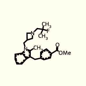 COC(=O)c1ccc(Cc2c(C)n(CC3CN(CC(C)(C)F)C3)c3ccccc23)cc1